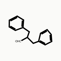 O=[C]C(Cc1ccccc1)Cc1ccccc1